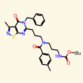 Cc1ccc(C(=O)N(CCCNC(=O)OC(C)(C)C)CCCc2nc3snc(C)c3c(=O)n2Cc2ccccc2)cc1